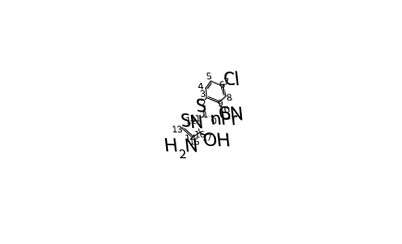 CCC[C@@H](Sc1ccc(Cl)cc1C#N)N1SC=C(N)C1O